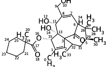 CC1=CC23C(=O)[C@@H](C=C(CO)[C@@H](O)[C@]2(O)[C@H]1OC(=O)C1(C)CCCCC1)C(C)(C)[C@@H](C)CC3C